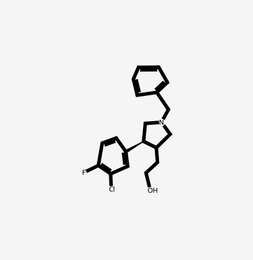 OCCC1CN(Cc2ccccc2)C[C@@H]1c1ccc(F)c(Cl)c1